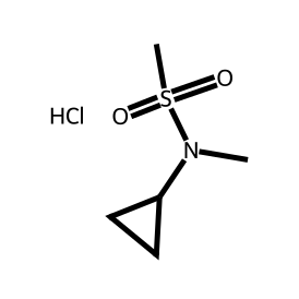 CN(C1CC1)S(C)(=O)=O.Cl